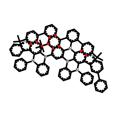 CC(C)(C)c1ccc(-c2ccccc2N2c3cc4c(cc3B3c5ccccc5N(c5ccccc5)c5c3c2cc2oc3ccccc3c52)B2c3ccccc3N(c3ccccc3)c3c2c(cc2oc5ccc(-c6ccccc6)cc5c32)N4c2c(-c3ccc(C(C)(C)C)cc3)cccc2-c2ccc(C(C)(C)C)cc2)cc1